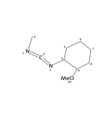 CN=C=NC1CCCCC1OC